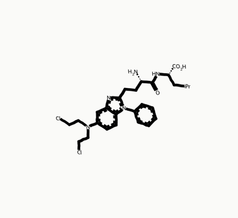 CC(C)C[C@H](NC(=O)[C@@H](N)CCc1nc2cc(N(CCCl)CCCl)ccc2n1-c1ccccc1)C(=O)O